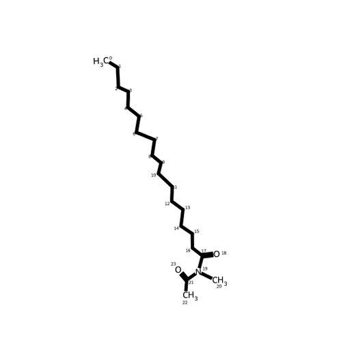 CCCCCCCCCCCCCCCCCC(=O)N(C)C(C)=O